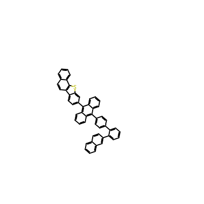 c1ccc(-c2ccc3ccccc3c2)c(-c2ccc(-c3c4ccccc4c(-c4ccc5c(c4)sc4c6ccccc6ccc54)c4ccccc34)cc2)c1